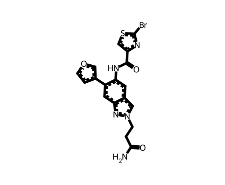 NC(=O)CCn1cc2cc(NC(=O)c3csc(Br)n3)c(-c3ccoc3)cc2n1